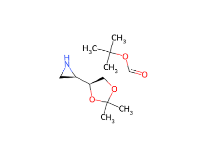 CC(C)(C)OC=O.CC1(C)OC[C@H]([C@H]2CN2)O1